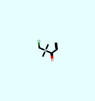 C=CC(=O)[Si](C)(C)CCl